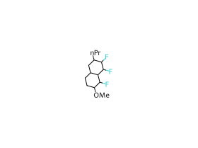 CCCC1CC2CCC(OC)C(F)C2C(F)C1F